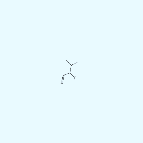 CC(C)C(F)[C]=O